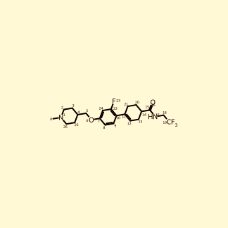 CN1CCC(COc2ccc(C3=CCC(C(=O)NCC(F)(F)F)CC3)c(F)c2)CC1